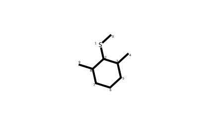 CSC1C(C)CCCC1C